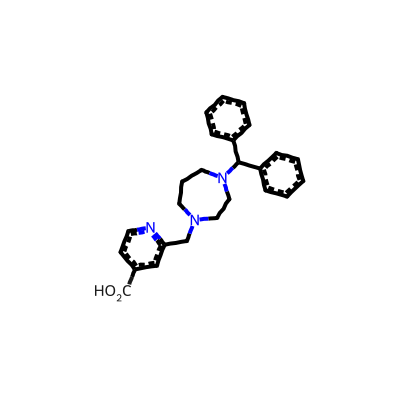 O=C(O)c1ccnc(CN2CCCN(C(c3ccccc3)c3ccccc3)CC2)c1